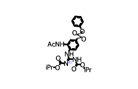 CC(=O)Nc1cc(S(=O)(=O)Oc2ccccc2)ccc1N/C(=N\C(=O)OC(C)C)NC(=O)OC(C)C